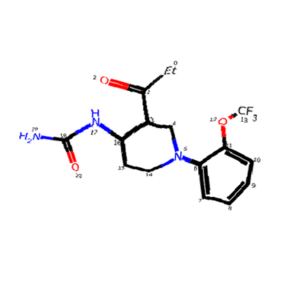 CCC(=O)C1CN(c2ccccc2OC(F)(F)F)CCC1NC(N)=O